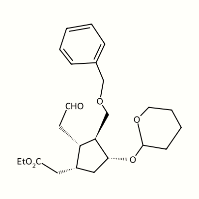 CCOC(=O)C[C@H]1C[C@@H](OC2CCCCO2)[C@H](COCc2ccccc2)[C@H]1CC=O